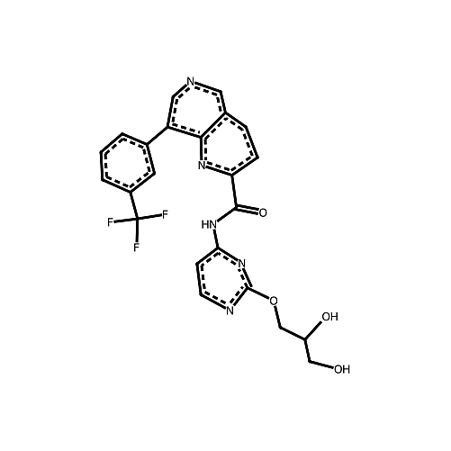 O=C(Nc1ccnc(OCC(O)CO)n1)c1ccc2cncc(-c3cccc(C(F)(F)F)c3)c2n1